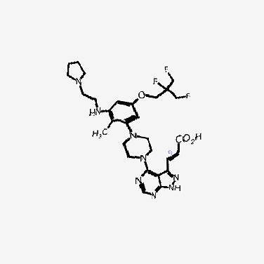 Cc1c(NCCN2CCCC2)cc(OCC(F)(CF)CF)cc1N1CCN(c2ncnc3[nH]nc(/C=C/C(=O)O)c23)CC1